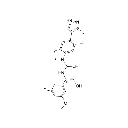 COc1cc(F)cc([C@@H](CO)NC(O)N2CCc3cc(-c4c[nH]nc4C)c(F)cc32)c1